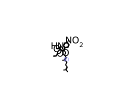 C=CCOc1c(OC/C=C(\C)CCC=C(C)C)c2ccc([N+](=O)[O-])cc2[nH]c1=O